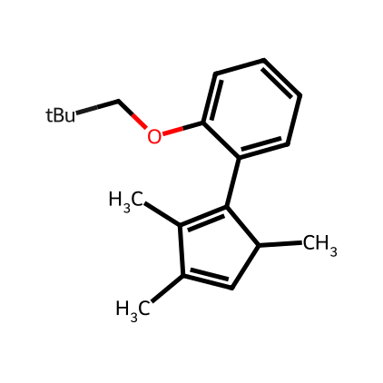 CC1=CC(C)C(c2ccccc2OCC(C)(C)C)=C1C